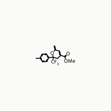 C=C1C=C(C(=O)OC)CC(c2ccc(C)cc2)(C(F)(F)F)O1